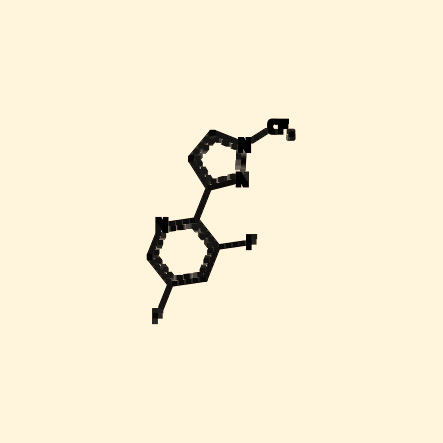 Fc1cnc(-c2ccn(C(F)(F)F)n2)c(F)c1